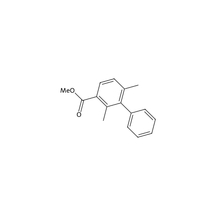 COC(=O)c1ccc(C)c(-c2ccccc2)c1C